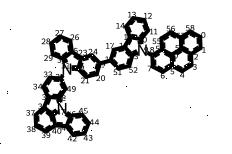 c1cc2ccc3ccc(-n4c5ccccc5c5cc(-c6ccc7c(c6)c6ccccc6n7-c6ccc7c8cccc9c%10ccccc%10n(c7c6)c98)ccc54)c4ccc(c1)c2c34